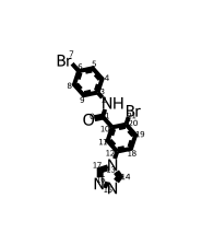 O=C(Nc1ccc(Br)cc1)c1cc(-n2cnnc2)ccc1Br